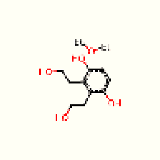 CCOCC.OCCc1c(O)ccc(O)c1CCO